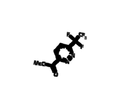 COC(=O)c1ccc(C(F)(F)C(F)(F)F)nn1